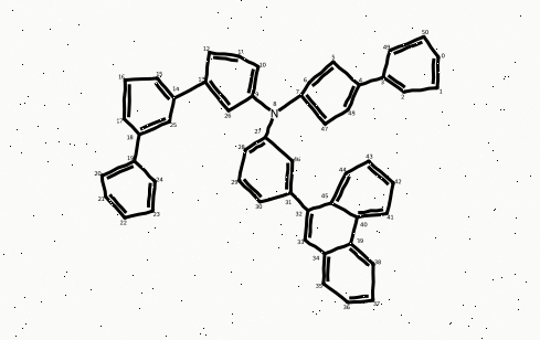 c1ccc(-c2ccc(N(c3cccc(-c4cccc(-c5ccccc5)c4)c3)c3cccc(-c4cc5ccccc5c5ccccc45)c3)cc2)cc1